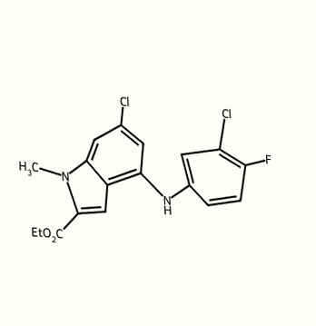 CCOC(=O)c1cc2c(Nc3ccc(F)c(Cl)c3)cc(Cl)cc2n1C